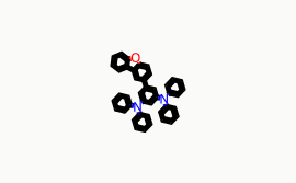 c1ccc(N(c2ccccc2)c2cc(-c3ccc4oc5ccccc5c4c3)cc(N(c3ccccc3)c3ccccc3)c2)cc1